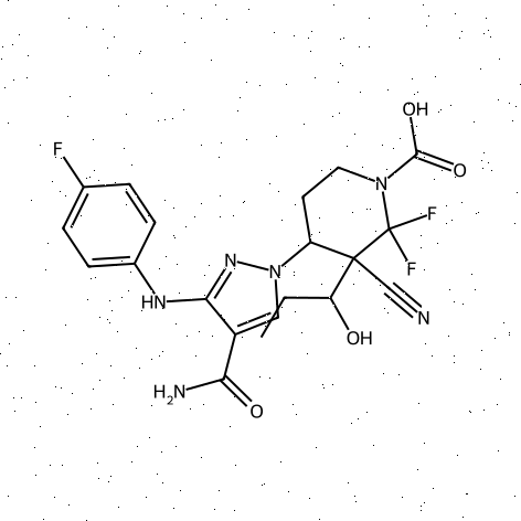 CCC(O)C1(C#N)C(n2cc(C(N)=O)c(Nc3ccc(F)cc3)n2)CCN(C(=O)O)C1(F)F